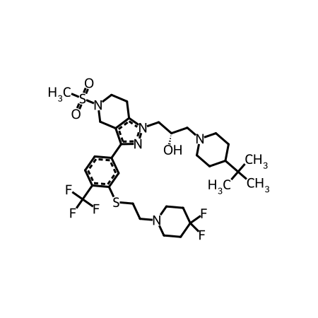 CC(C)(C)C1CCN(C[C@H](O)Cn2nc(-c3ccc(C(F)(F)F)c(SCCN4CCC(F)(F)CC4)c3)c3c2CCN(S(C)(=O)=O)C3)CC1